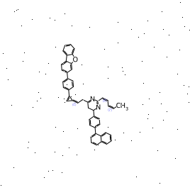 C/C=C\C=C/C1=NC(c2ccc(-c3cccc4ccccc34)cc2)CC(C/C=C2C=C/2c2ccc(-c3ccc4c(c3)oc3ccccc34)cc2)=N1